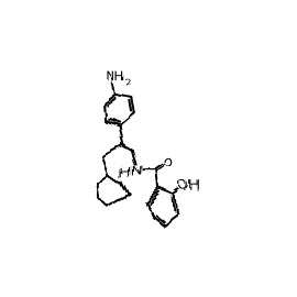 Nc1ccc(C(CNC(=O)c2ccccc2O)CC2CCCCC2)cc1